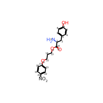 N[C@@H](Cc1ccc(O)cc1)C(=O)OCCCOc1ccc([N+](=O)[O-])cc1